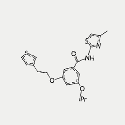 Cc1csc(NC(=O)c2cc(OCCc3ccsc3)cc(OC(C)C)c2)n1